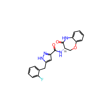 O=C(N[C@H]1COc2ccccc2NC1=O)c1cc(Cc2ccccc2F)[nH]n1